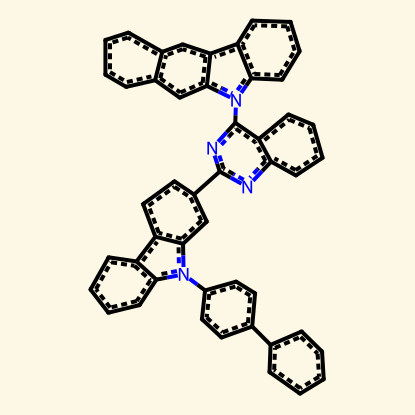 c1ccc(-c2ccc(-n3c4ccccc4c4ccc(-c5nc(-n6c7ccccc7c7cc8ccccc8cc76)c6ccccc6n5)cc43)cc2)cc1